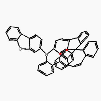 C1=Cc2ccccc2C2(c3ccccc31)c1ccccc1-c1ccc(N(c3ccc4c(c3)oc3ccccc34)c3ccccc3-c3ccccc3)cc12